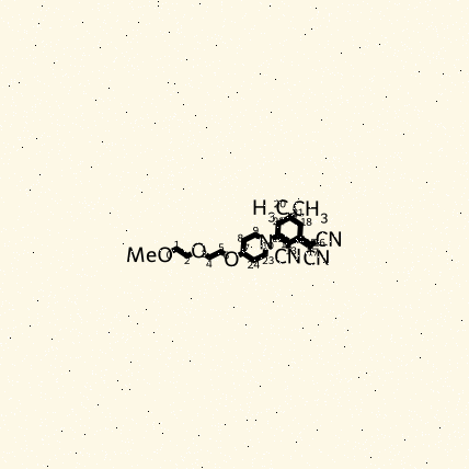 COCCOCCOC1CCN(C2=C(C#N)C(=C(C#N)C#N)CC(C)(C)C2)CC1